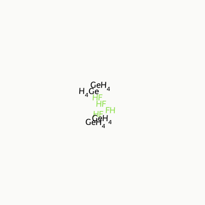 F.F.F.F.[GeH4].[GeH4].[GeH4].[GeH4]